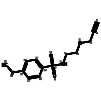 C#CCOCCNS(=O)(=O)c1ccc(SC#N)cc1